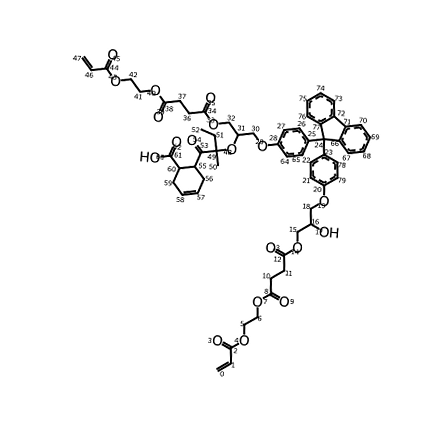 C=CC(=O)OCCOC(=O)CCC(=O)OCC(O)COc1ccc(C2(c3ccc(OCC(COC(=O)CCC(=O)OCCOC(=O)C=C)OC(C)(CC)C(=O)C4CC=CCC4C(=O)O)cc3)c3ccccc3-c3ccccc32)cc1